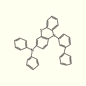 c1ccc(-c2cccc(N3c4ccccc4Sc4cc(N(c5ccccc5)c5ccccc5)ccc43)c2)cc1